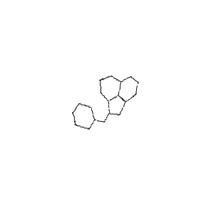 C1CCC(CC2CC3CCCC4CCCC2C43)CC1